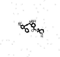 O=C(c1ccc2[nH]nc(C#Cc3cc(OC(F)(F)F)ccc3-c3ccccc3)c2c1)N1CC2(CCCNC2)C1